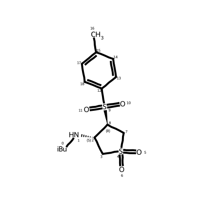 CCC(C)N[C@H]1CS(=O)(=O)C[C@@H]1S(=O)(=O)c1ccc(C)cc1